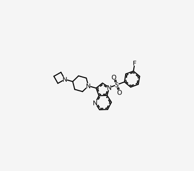 O=S(=O)(c1cccc(F)c1)n1cc(N2CCC(N3CCC3)CC2)c2ncccc21